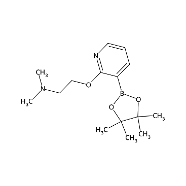 CN(C)CCOc1ncccc1B1OC(C)(C)C(C)(C)O1